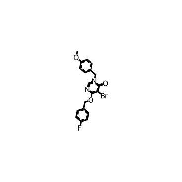 COc1ccc(Cn2cnc(OCc3ccc(F)cc3)c(Br)c2=O)cc1